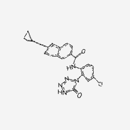 O=C(Nc1ccc(Cl)cc1-n1nn[nH]c1=O)c1ccc2cc(C3CC3)ccc2c1